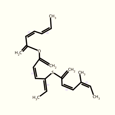 C=C(/C=C\C=C/C)OC(=C)/C=C\C(=C/C)SC(=C)/C=C\C(C)=C/C